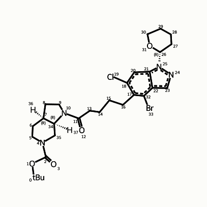 CC(C)(C)OC(=O)N1CC[C@H]2CCN(C(=O)CCCCc3c(Cl)cc4c(cnn4[C@H]4CCCCO4)c3Br)[C@H]2C1